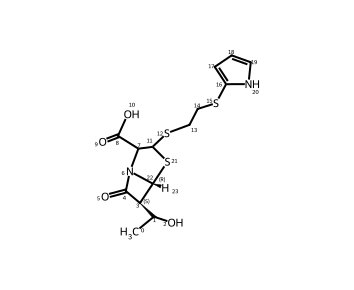 CC(O)[C@H]1C(=O)N2C(C(=O)O)C(SCCSc3ccc[nH]3)S[C@H]12